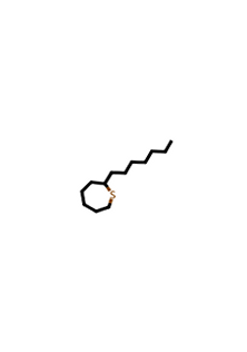 CCCCCCC[C]1CCCCCS1